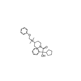 C[N+](C)(COc1ccccc1)C1CCN(C(=O)C(O)(c2ccccc2)C2CCCC2)CC1